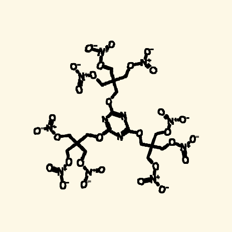 O=[N+]([O-])OCC(COc1nc(OCC(CO[N+](=O)[O-])(CO[N+](=O)[O-])CO[N+](=O)[O-])nc(OCC(CO[N+](=O)[O-])(CO[N+](=O)[O-])CO[N+](=O)[O-])n1)(CO[N+](=O)[O-])CO[N+](=O)[O-]